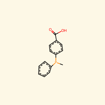 CP(c1ccccc1)c1ccc(C(=O)O)cc1